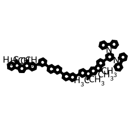 CC1(C)c2cc(-c3cc(-n4c5ccccc5c5ccccc54)cc(-n4c5ccccc5c5ccccc54)c3)ccc2-c2cc3c(cc21)C(C)(C)c1cc(-c2ccc4ccc(-c5ccc6cc(-c7cccc(-c8ccc9c(c8)C(C)(C)c8c-9ccc9c8C(C)(C)c8ccccc8-9)c7)ccc6c5)cc4c2)ccc1-3